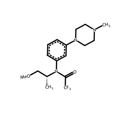 COC[C@@H](C)N(C(=O)C(F)(F)F)c1[c]ccc(N2CCN(C)CC2)c1